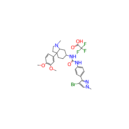 COc1ccc(C23CCC(NC(=O)Nc4ccc(-c5nn(C)cc5Br)cc4)CC2N(C)CC3)cc1OC.O=C(O)C(F)(F)F